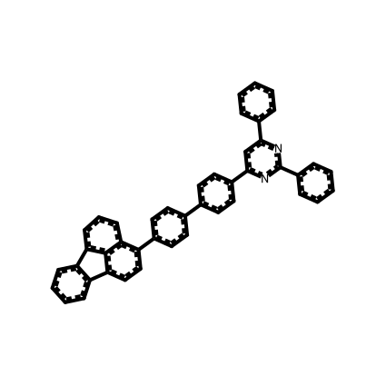 c1ccc(-c2cc(-c3ccc(-c4ccc(-c5ccc6c7c(cccc57)-c5ccccc5-6)cc4)cc3)nc(-c3ccccc3)n2)cc1